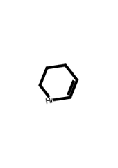 C1=C[IH]CCC1